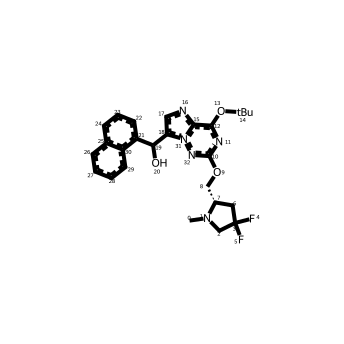 CN1CC(F)(F)C[C@H]1COc1nc(OC(C)(C)C)c2ncc(C(O)c3cccc4ccccc34)n2n1